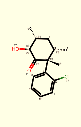 C[C@@H]1C[C@H](C)[C@](C)(c2ccccc2Cl)C(=O)[C@H]1O